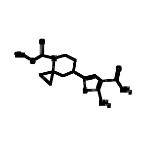 CC(C)(C)OC(=O)N1CCC(c2cc(C(N)=O)c(N)s2)CC12CC2